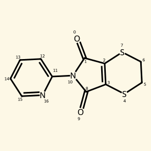 O=C1C2=C(SCCS2)C(=O)N1c1ccccn1